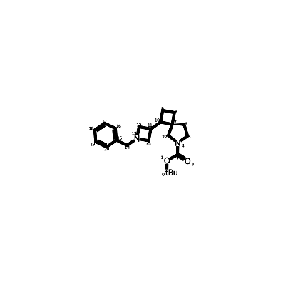 CC(C)(C)OC(=O)N1CC[C@@]2(CCC2C2CN(Cc3ccccc3)C2)C1